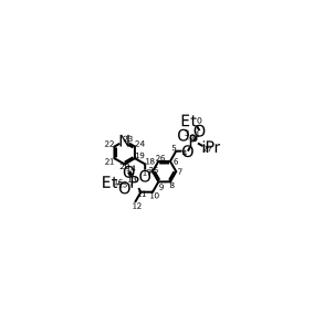 CCOP(=O)(OCc1ccc(CC(C)P(=O)(OCC)OCc2cccnc2)cc1)C(C)C